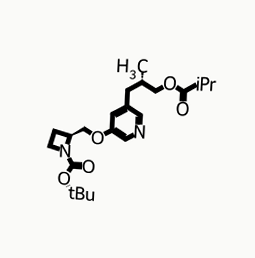 CC(C)C(=O)OC[C@@H](C)Cc1cncc(OC[C@@H]2CCN2C(=O)OC(C)(C)C)c1